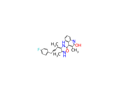 CC(=N)/C(NC(=O)c1c(C)c(O)nc2ccccc12)=C(/C)C#CCc1ccc(F)cc1